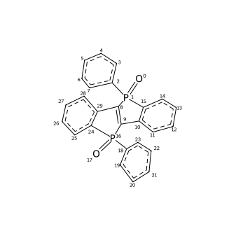 O=P1(c2ccccc2)C2=C(c3ccccc31)P(=O)(c1ccccc1)c1ccccc12